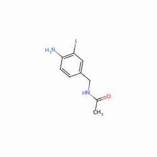 CC(=O)NCc1ccc(N)c(I)c1